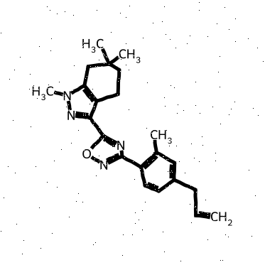 C=CCc1ccc(-c2noc(-c3nn(C)c4c3CCC(C)(C)C4)n2)c(C)c1